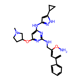 C=C(/C=C(/CNc1nc(Nc2cc(C3CC3)[nH]n2)cc(OC2CCN(C)C2)n1)ON)c1ccccc1